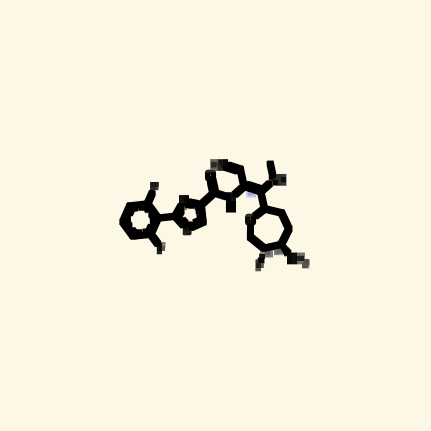 CN/C(=C(\C=N)NC(=O)c1csc(-c2c(F)cccc2F)n1)C1CC[C@@H](N)[C@H](F)CO1